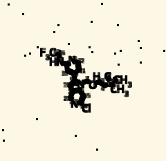 C[Si](C)(C)CCOCn1c(-c2ccnc(NCC(F)(F)F)c2)cc2cnc(Cl)cc21